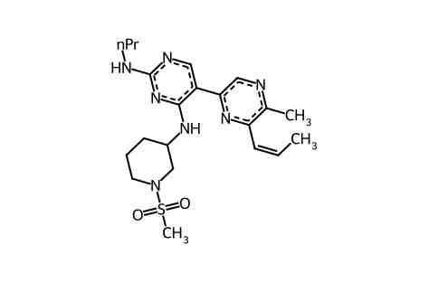 C/C=C\c1nc(-c2cnc(NCCC)nc2NC2CCCN(S(C)(=O)=O)C2)cnc1C